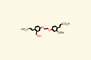 COc1cc(OCCOc2ccc(/C=C/C(=O)O)c(CO)c2)ccc1/C=C/C(=O)O